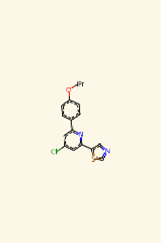 CC(C)Oc1ccc(-c2cc(Cl)cc(-c3cncs3)n2)cc1